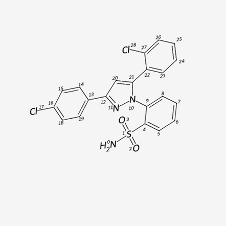 NS(=O)(=O)c1ccccc1-n1nc(-c2ccc(Cl)cc2)cc1-c1ccccc1Cl